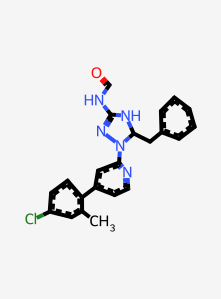 Cc1cc(Cl)ccc1-c1ccnc(N2N=C(NC=O)NC2Cc2ccccc2)c1